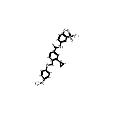 CS(=O)(=O)c1cc(NC(=O)c2ccc(COc3ccc(SC(F)(F)F)cc3)c(C3CC3)c2)ccc1O